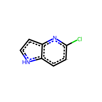 Clc1[c]cc2[nH]ccc2n1